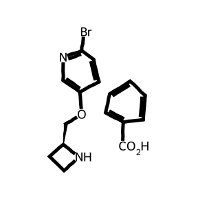 Brc1ccc(OC[C@@H]2CCN2)cn1.O=C(O)c1ccccc1